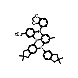 Cc1cc2c3c(c1)N(c1cccc4c1OCO4)c1ccc(C(C)(C)C)cc1B3c1cc3c(cc1N2c1ccc2c(c1)CC(C)(C)C2)CC(C)(C)C3